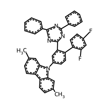 Cc1ccc2c3ccc(C)cc3n(-c3ccc(-c4ccc(F)cc4F)c(-c4nc(-c5ccccc5)nc(-c5ccccc5)n4)c3)c2c1